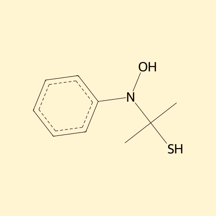 CC(C)(S)N(O)c1ccccc1